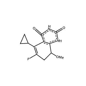 COC1CC(F)=C(C2CC2)c2c1[nH]c(=O)[nH]c2=O